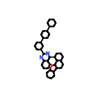 c1ccc(-c2ccc(-c3cccc(-c4nc(-c5cccc6ccc7c8ccccc8oc7c56)c5ccccc5n4)c3)cc2)cc1